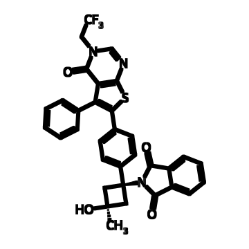 C[C@]1(O)C[C@@](c2ccc(-c3sc4ncn(CC(F)(F)F)c(=O)c4c3-c3ccccc3)cc2)(N2C(=O)c3ccccc3C2=O)C1